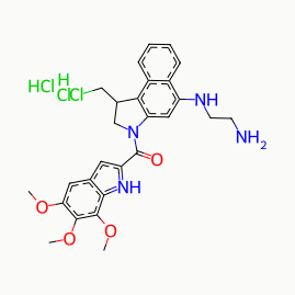 COc1cc2cc(C(=O)N3CC(CCl)c4c3cc(NCCN)c3ccccc43)[nH]c2c(OC)c1OC.Cl.Cl